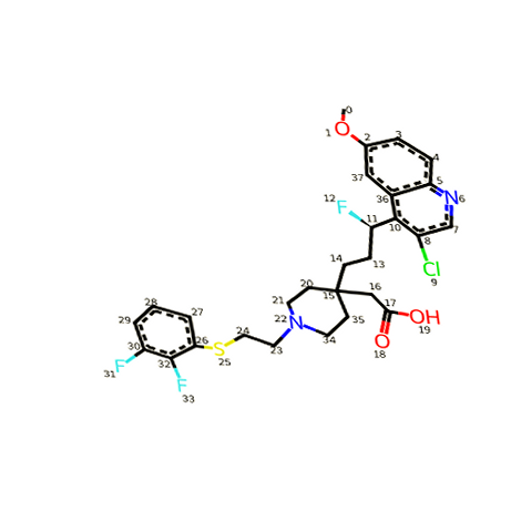 COc1ccc2ncc(Cl)c([C@H](F)CCC3(CC(=O)O)CCN(CCSc4cccc(F)c4F)CC3)c2c1